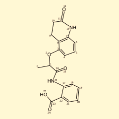 CC(Oc1cccc2c1CCC(=O)N2)C(=O)Nc1ccccc1C(=O)O